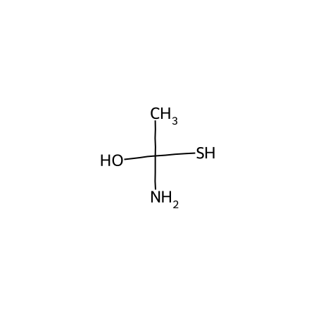 CC(N)(O)S